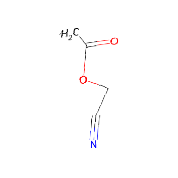 [CH2]C(=O)OCC#N